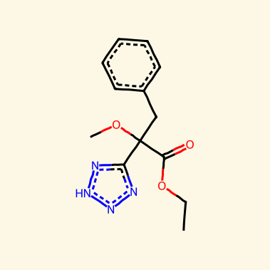 CCOC(=O)C(Cc1ccccc1)(OC)c1nn[nH]n1